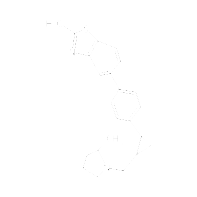 Cc1nc2cc(-c3ccc(C4CC4CN4CCCC4C)cc3)ccc2s1